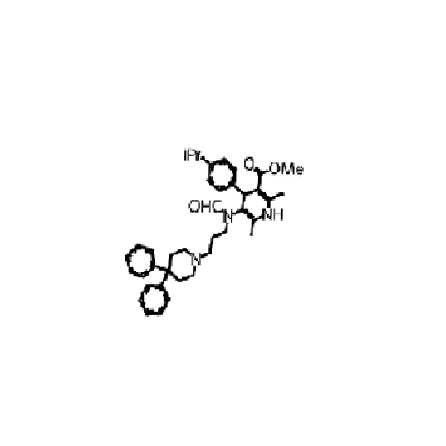 COC(=O)C1=C(C)NC(C)=C(N(C=O)CCCN2CCC(c3ccccc3)(c3ccccc3)CC2)C1c1ccc(C(C)C)cc1